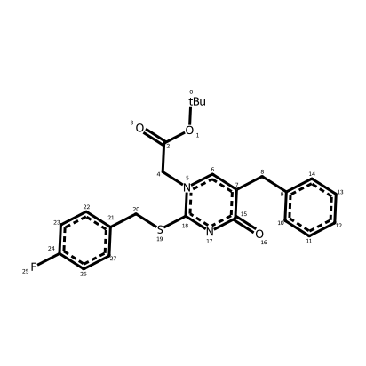 CC(C)(C)OC(=O)Cn1cc(Cc2ccccc2)c(=O)nc1SCc1ccc(F)cc1